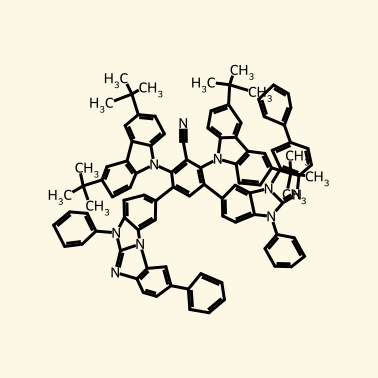 CC(C)(C)c1ccc2c(c1)c1cc(C(C)(C)C)ccc1n2-c1c(-c2ccc3c(c2)n2c4cc(-c5ccccc5)ccc4nc2n3-c2ccccc2)cc(-c2ccc3c(c2)n2c4cc(-c5ccccc5)ccc4nc2n3-c2ccccc2)c(-n2c3ccc(C(C)(C)C)cc3c3cc(C(C)(C)C)ccc32)c1C#N